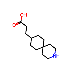 O=C(O)CCC1CCC2(CCNCC2)CC1